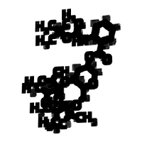 CC(C)[Si]1(C(C)C)OCC2OCC(OC(=O)c3ccccc3NC(=O)OC(C)(C)C)CC2O[Si](C(C)C)(C(C)C)O1